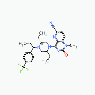 CCC1CN(C(CC)c2ccc(C(F)(F)F)cc2)[C@H](CC)CN1c1nc(=O)n(C)c2ccc(C#N)nc12